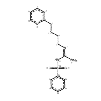 CNC(=NCCSCc1ncccn1)NS(=O)(=O)c1ccccc1